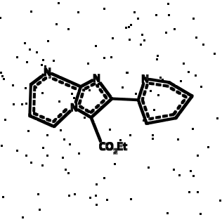 CCOC(=O)c1c(-c2ccccn2)nc2ncccn12